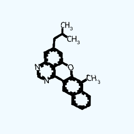 Cc1c2c(cc3ccccc13)-c1ncnc3cc(CC(C)C)cc(c13)O2